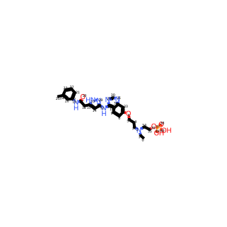 CCN(CCCOc1ccc2c(Nc3cc(CC(=O)Nc4cccc(C)c4)[nH]n3)ncnc2c1)CCOP(=O)(O)O